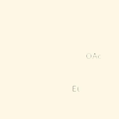 CCC(OC(C)=O)c1ccccc1